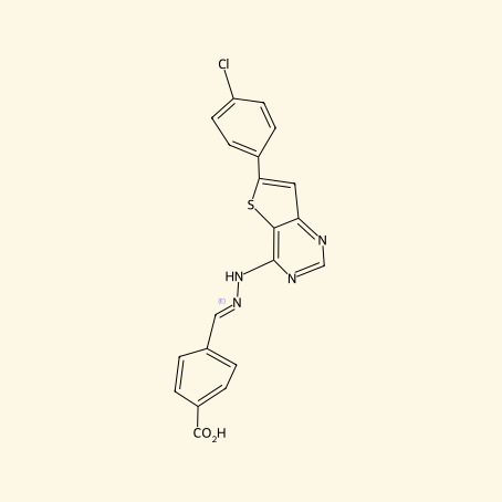 O=C(O)c1ccc(/C=N/Nc2ncnc3cc(-c4ccc(Cl)cc4)sc23)cc1